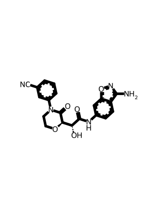 N#Cc1cccc(N2CCO[C@H]([C@@H](O)C(=O)Nc3ccc4c(N)noc4c3)C2=O)c1